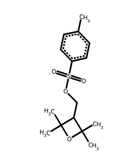 Cc1ccc(S(=O)(=O)OCC2C(C)(C)OC2(C)C)cc1